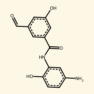 Nc1ccc(O)c(NC(=O)c2cc(O)cc(C=O)c2)c1